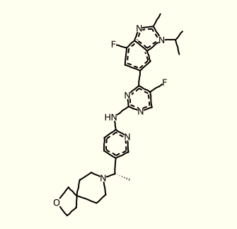 Cc1nc2c(F)cc(-c3nc(Nc4ccc([C@H](C)N5CCC6(CCOC6)CC5)cn4)ncc3F)cc2n1C(C)C